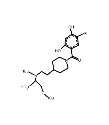 CC(C)c1cc(C(=O)N2CCC(CCN(C(COC(C)(C)C)C(=O)O)C(C)(C)C)CC2)c(O)cc1O